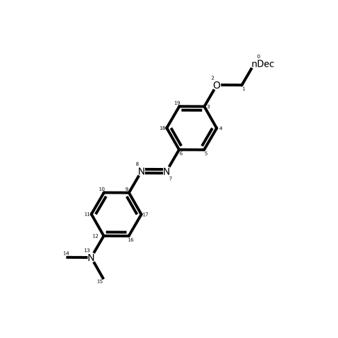 CCCCCCCCCCCOc1ccc(N=Nc2ccc(N(C)C)cc2)cc1